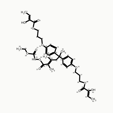 CC=C(O)C(=O)OCCCOc1ccc(C(C)(CC(C)=C(C)C(=O)ONC(=O)OCC)c2ccc(OCCCOC(=O)C(O)=CC)cc2)cc1